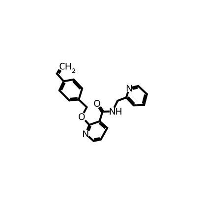 C=Cc1ccc(COc2ncccc2C(=O)NCc2ccccn2)cc1